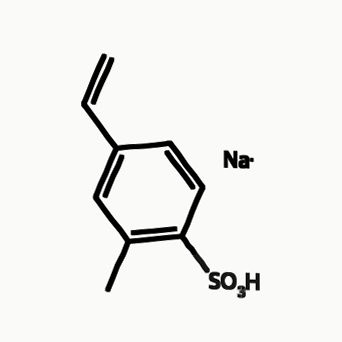 C=Cc1ccc(S(=O)(=O)O)c(C)c1.[Na]